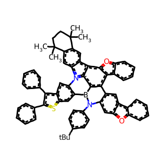 CC(C)(C)c1ccc(N2B3c4cc5sc(-c6ccccc6)c(-c6ccccc6)c5cc4-n4c5cc6c(cc5c5c7oc8ccccc8c7c(c3c54)-c3cc4c(cc32)oc2ccccc24)C(C)(C)CCC6(C)C)cc1